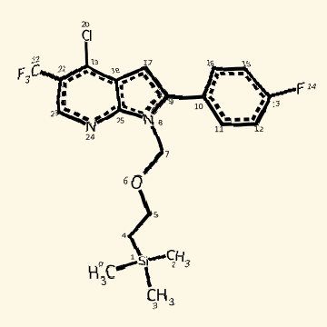 C[Si](C)(C)CCOCn1c(-c2ccc(F)cc2)cc2c(Cl)c(C(F)(F)F)cnc21